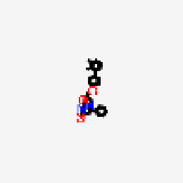 Cc1cccc(-c2ccc(OCC3Cn4c(-c5ccccc5)cc(=O)nc4O3)cc2)c1C